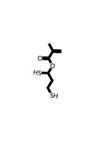 C=C(C)C(=O)OC(S)CCS